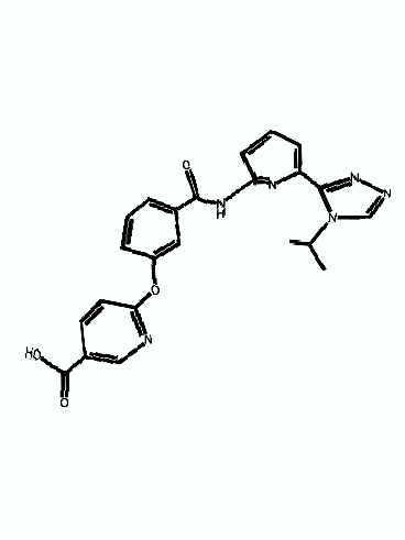 CC(C)n1cnnc1-c1cccc(NC(=O)c2cccc(Oc3ccc(C(=O)O)cn3)c2)n1